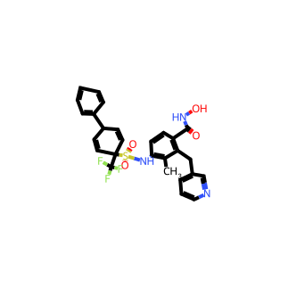 Cc1c(NS(=O)(=O)C2(C(F)(F)F)C=CC(c3ccccc3)C=C2)ccc(C(=O)NO)c1Cc1cccnc1